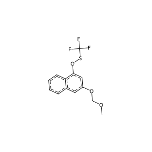 COCOc1cc(OSC(F)(F)F)c2ccccc2c1